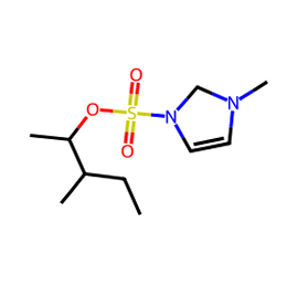 CCC(C)C(C)OS(=O)(=O)N1C=CN(C)C1